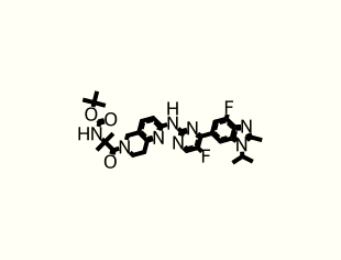 Cc1nc2c(F)cc(-c3nc(Nc4ccc5c(n4)CCN(C(=O)C(C)(C)NC(=O)OC(C)(C)C)C5)ncc3F)cc2n1C(C)C